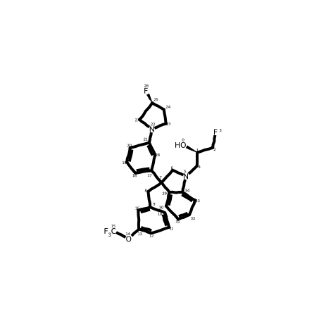 O[C@@H](CF)CN1CC(Cc2cccc(OC(F)(F)F)c2)(c2cccc(N3CC[C@H](F)C3)c2)c2ccccc21